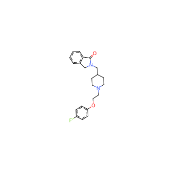 O=C1c2ccccc2CN1CC1CCN(CCOc2ccc(F)cc2)CC1